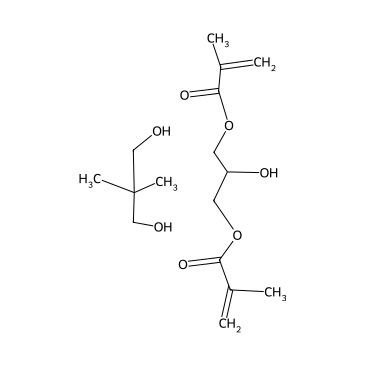 C=C(C)C(=O)OCC(O)COC(=O)C(=C)C.CC(C)(CO)CO